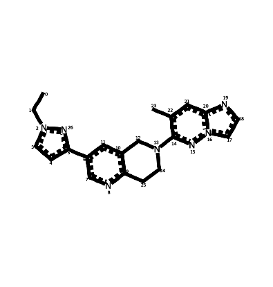 CCn1ccc(-c2cnc3c(c2)CN(c2nn4ccnc4cc2C)CC3)n1